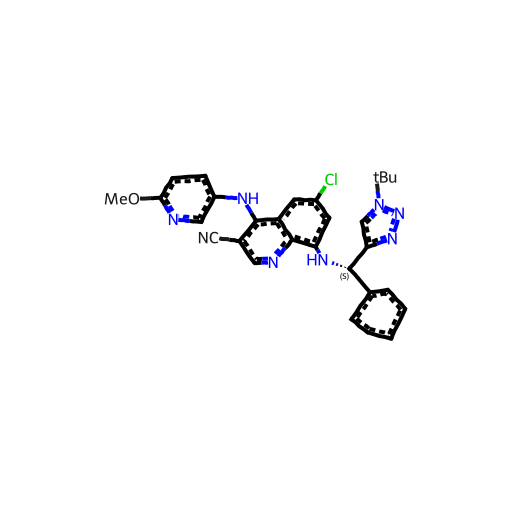 COc1ccc(Nc2c(C#N)cnc3c(N[C@@H](c4ccccc4)c4cn(C(C)(C)C)nn4)cc(Cl)cc23)cn1